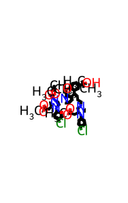 COC(=O)CC1CN(C(=O)OC(C)(C)C)CCN1c1ccc(Cl)cc1.COC(=O)CC1CN(CCC=C2c3cc(C(C)(C)O)ccc3OCc3ncccc32)CCN1c1ccc(Cl)cc1